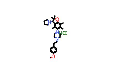 COc1ccc(CCN2CCN(c3c(C)c(C)c4c(c3C)C(N3CCCC3)C(C)(C)O4)CC2)cc1.Cl.Cl